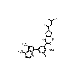 COc1c(F)cc(-c2cc(C(F)(F)F)c3c(N)ncnn23)cc1C(=O)N[C@@H]1CN(C(=O)CC(C)C(F)(F)F)C[C@@H]1F